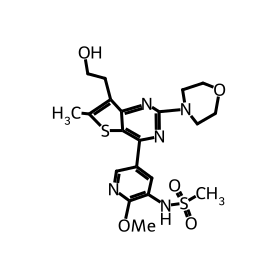 COc1ncc(-c2nc(N3CCOCC3)nc3c(CCO)c(C)sc23)cc1NS(C)(=O)=O